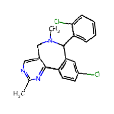 Cc1ncc2c(n1)-c1ccc(Cl)cc1C(c1ccccc1Cl)N(C)C2